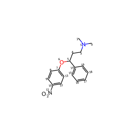 CN(C)CCC(Oc1ccc([N+](=O)[O-])cc1)c1ccccc1